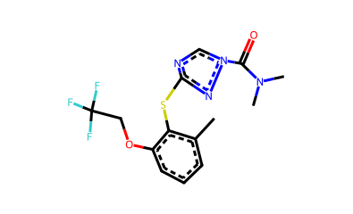 Cc1cccc(OCC(F)(F)F)c1Sc1ncn(C(=O)N(C)C)n1